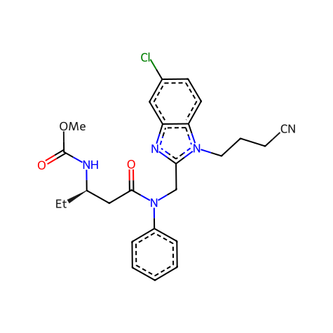 CC[C@H](CC(=O)N(Cc1nc2cc(Cl)ccc2n1CCCC#N)c1ccccc1)NC(=O)OC